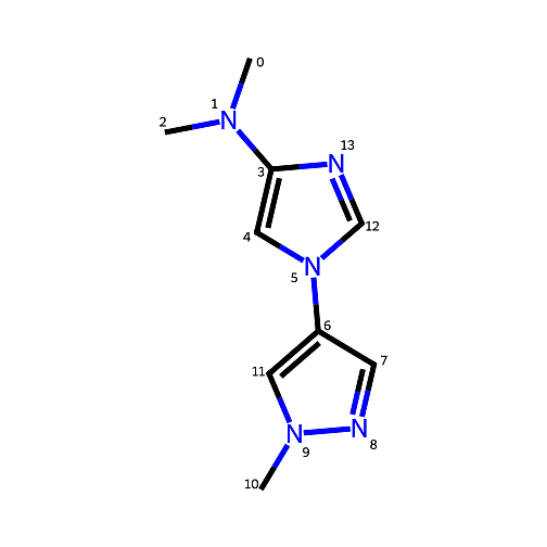 CN(C)c1cn(-c2cnn(C)c2)cn1